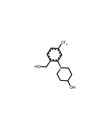 OCc1ccc(C(F)(F)F)cc1N1CCC(O)CC1